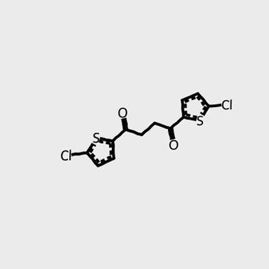 O=C(CCC(=O)c1ccc(Cl)s1)c1ccc(Cl)s1